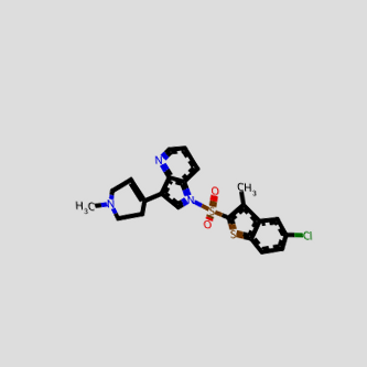 Cc1c(S(=O)(=O)n2cc(C3=CCN(C)CC3)c3ncccc32)sc2ccc(Cl)cc12